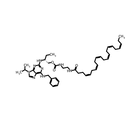 CC/C=C\C/C=C\C/C=C\C/C=C\C/C=C\C/C=C\CCC(=O)NCCNC(=O)OC[C@@H](CC)Nc1nc(NCc2ccccc2)c2ncn(C(C)C)c2n1